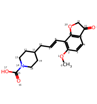 COc1ccc2c(c1C=CCC1CCN(C(=O)O)CC1)OCC2=O